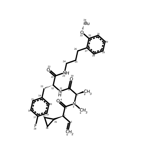 C=C[C@H](C(=O)N(C)[C@H](C)C(=O)N[C@H](Cc1ccc(F)cc1)C(=O)NCCCc1ccccc1O[C@@H](C)CC)C1CC1